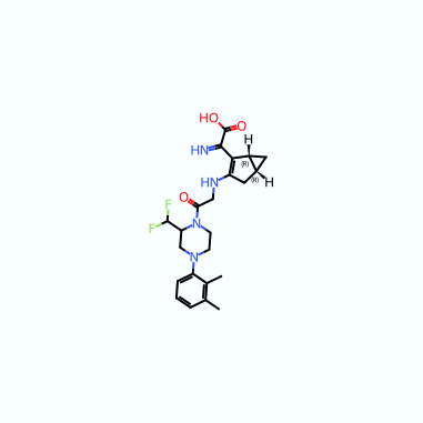 Cc1cccc(N2CCN(C(=O)CNC3=C(C(=N)C(=O)O)[C@@H]4C[C@@H]4C3)C(C(F)F)C2)c1C